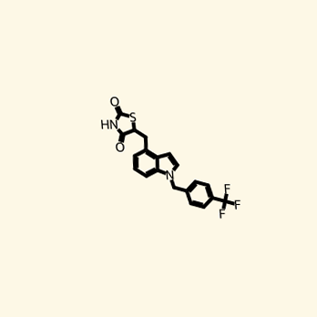 O=C1NC(=O)C(Cc2cccc3c2ccn3Cc2ccc(C(F)(F)F)cc2)S1